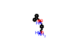 NNC(=O)CCc1ccc(CNC(=O)OCC2c3ccccc3-c3ccccc32)cc1